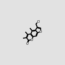 Cc1c(C)c2c(C)c3c(CCl)coc3cc2oc1=O